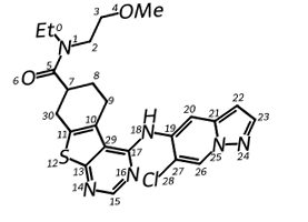 CCN(CCOC)C(=O)C1CCc2c(sc3ncnc(Nc4cc5ccnn5cc4Cl)c23)C1